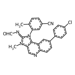 Cc1ccc(C#N)cc1-n1/c(=N/C=O)n(C)c2cnc3ccc(-c4ccc(Cl)cc4)cc3c21